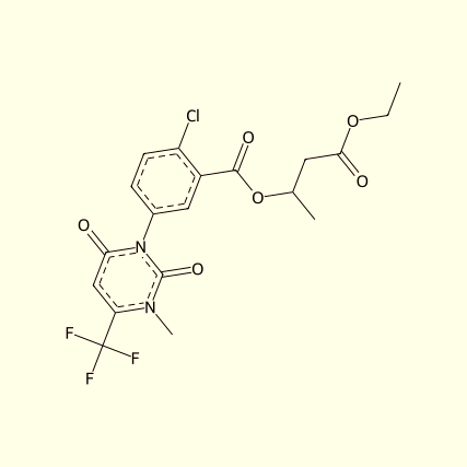 CCOC(=O)CC(C)OC(=O)c1cc(-n2c(=O)cc(C(F)(F)F)n(C)c2=O)ccc1Cl